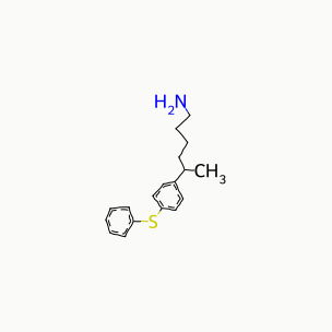 CC(CCCCN)c1ccc(Sc2ccccc2)cc1